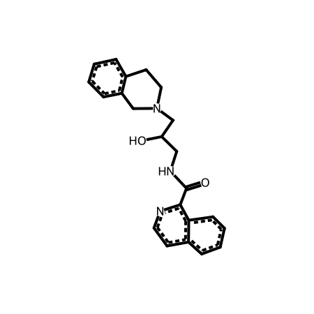 O=C(NCC(O)CN1CCc2ccccc2C1)c1nccc2ccccc12